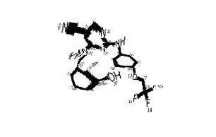 N#Cc1cnc(NC2CCC(OCC(F)(F)F)CC2)nc1N[C@@H]1CCC[C@H](O)C1